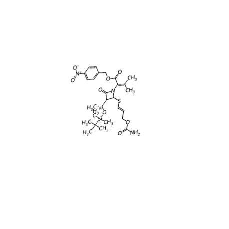 CC(C)=C(C(=O)OCc1ccc([N+](=O)[O-])cc1)N1C(=O)C([C@@H](C)O[Si](C)(C)C(C)(C)C)C1SC=CCOC(N)=O